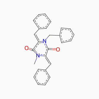 Cn1c(=O)c(=Cc2ccccc2)n(Cc2ccccc2)c(=O)c1=Cc1ccccc1